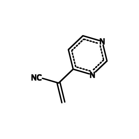 C=C(C#N)c1ccncn1